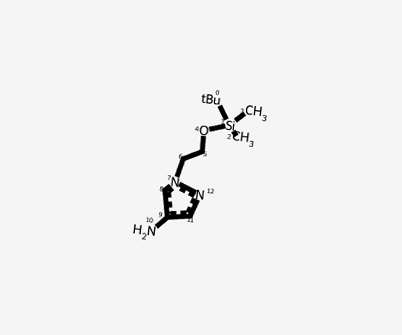 CC(C)(C)[Si](C)(C)OCCn1cc(N)cn1